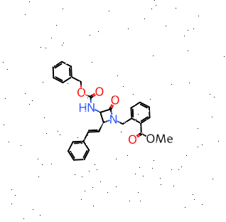 COC(=O)c1ccccc1CN1C(=O)[C@H](NC(=O)OCc2ccccc2)[C@@H]1C=Cc1ccccc1